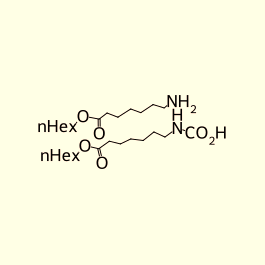 CCCCCCOC(=O)CCCCCCN.CCCCCCOC(=O)CCCCCCNC(=O)O